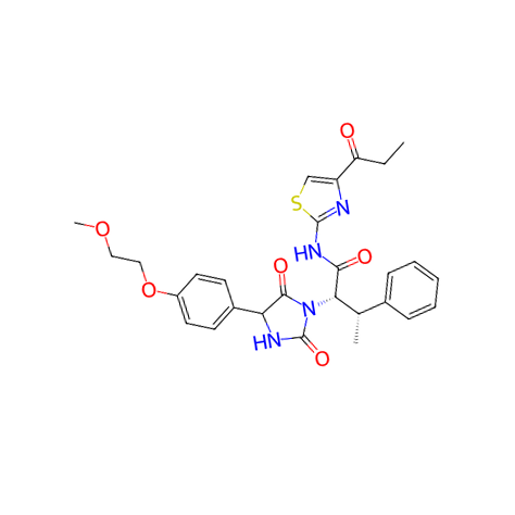 CCC(=O)c1csc(NC(=O)[C@H]([C@@H](C)c2ccccc2)N2C(=O)NC(c3ccc(OCCOC)cc3)C2=O)n1